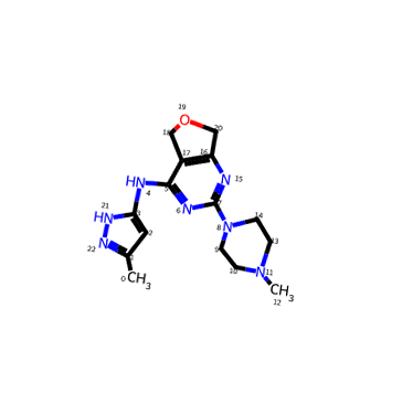 Cc1cc(Nc2nc(N3CCN(C)CC3)nc3c2COC3)[nH]n1